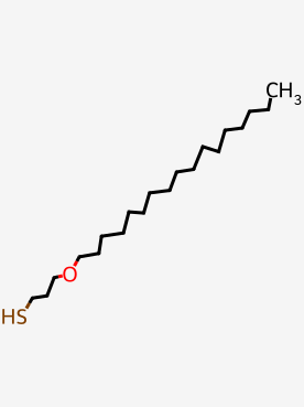 CCCCCCCCCCCCCCCCCOCCCS